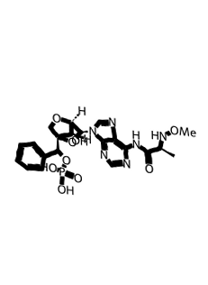 CON[C@@H](C)C(=O)Nc1ncnc2c1ncn2[C@@H]1O[C@]2(C(OP(=O)(O)O)c3ccccc3)CO[C@@H]1[C@@H]2O